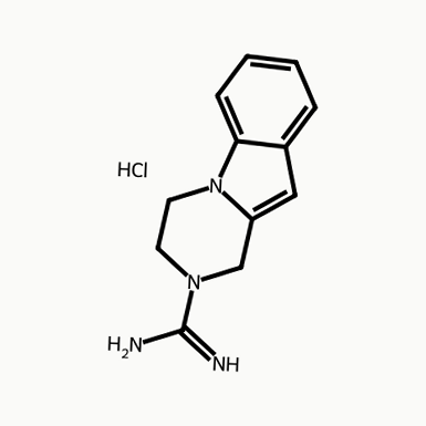 Cl.N=C(N)N1CCn2c(cc3ccccc32)C1